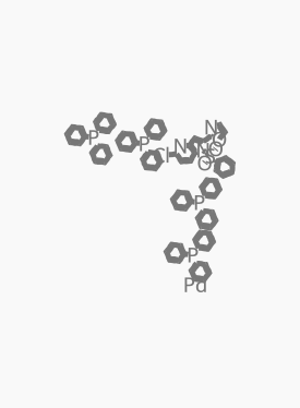 O=S(=O)(c1ccccc1)n1c(-c2ncco2)cc2nc(Cl)ccc21.[Pd].c1ccc(P(c2ccccc2)c2ccccc2)cc1.c1ccc(P(c2ccccc2)c2ccccc2)cc1.c1ccc(P(c2ccccc2)c2ccccc2)cc1.c1ccc(P(c2ccccc2)c2ccccc2)cc1